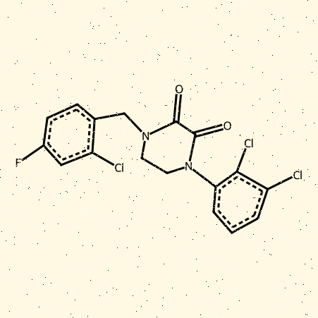 O=C1C(=O)N(c2cccc(Cl)c2Cl)CCN1Cc1ccc(F)cc1Cl